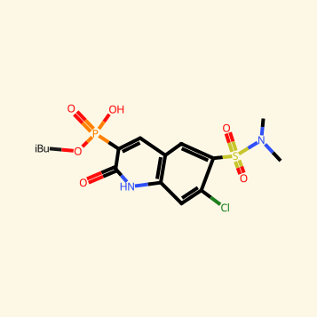 CCC(C)OP(=O)(O)c1cc2cc(S(=O)(=O)N(C)C)c(Cl)cc2[nH]c1=O